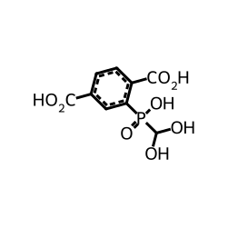 O=C(O)c1ccc(C(=O)O)c(P(=O)(O)C(O)O)c1